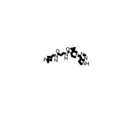 CC1(F)CC(CNC(=O)CCNC(=O)[C@H]2CCN(c3ncnc4[nH]ccc34)CC23CC3)C1